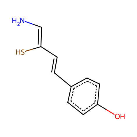 N/C=C(S)/C=C/c1ccc(O)cc1